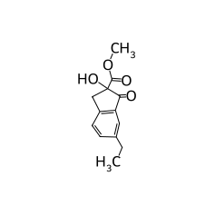 CCc1ccc2c(c1)C(=O)C(O)(C(=O)OC)C2